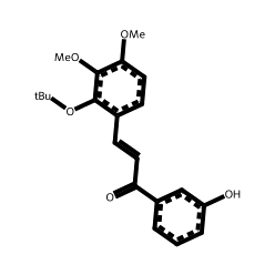 COc1ccc(/C=C/C(=O)c2cccc(O)c2)c(OC(C)(C)C)c1OC